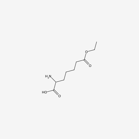 CCOC(=O)CCCCC(N)C(=O)O